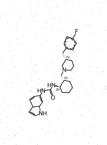 O=C(NC1=CC2NC=CC2C=C1)N[C@@H]1CCCC[C@H]1CN1CCC[C@@H](Cc2ccc(F)cc2)C1